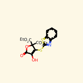 CCOC(=O)C1(C(=O)OCC)OC(=O)C(O)=C1Sc1nc2ccccc2s1